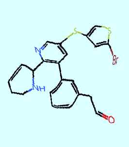 O=CCc1cccc(-c2cc(Sc3csc(Br)c3)cnc2C2C=CCCN2)c1